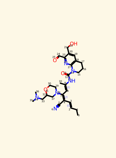 CC/C=C/C(C#N)=C(\C=C(/C)NC(=O)N1CCCc2cc(CO)c(C=O)nc21)N1CCOC(CN(C)C)C1